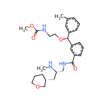 CN[C@H](CNC(=O)c1cccc([C@@H](OCCNC(=O)OC)c2cccc(C)c2)c1)C[C@H]1CCCOC1